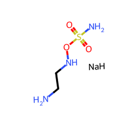 NCCNOS(N)(=O)=O.[NaH]